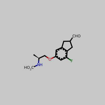 C[C@@H](COc1cc(F)c2c(c1)CC(C=O)C2)NC(=O)O